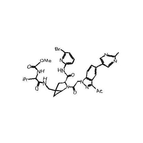 COC(=O)NC(C(=O)NCC12CC1N(C(=O)Cn1nc(C(C)=O)c3cc(-c4cnc(C)nc4)ccc31)[C@H](C(=O)Nc1cccc(Br)n1)C2)C(C)C